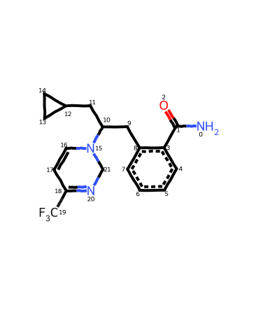 NC(=O)c1ccccc1CC(CC1CC1)N1C=CC(C(F)(F)F)=NC1